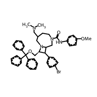 COc1ccc(NC(=O)N2CCC(CN(C)C)CN3C(C2)C(c2ccc(Br)cc2)[C@H]3COC(c2ccccc2)(c2ccccc2)c2ccccc2)cc1